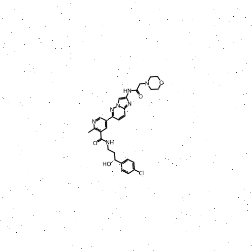 Cc1ncc(-c2ccc3nc(NC(=O)CN4CCOCC4)cn3n2)cc1C(=O)NCC[C@@H](O)c1ccc(Cl)cc1